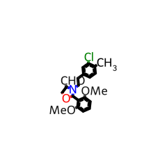 COc1cccc(OC)c1C1OCC(C=O)N1CCc1ccc(C)c(Cl)c1